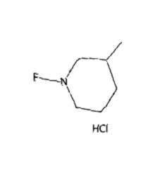 CC1CCCN(F)C1.Cl